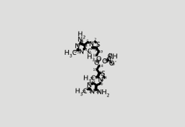 Cc1ncc(C[n+]2csc(CCOOCCc3sc[n+](Cc4cnc(C)nc4N)c3C)c2C)c(N)n1.O=[N+]([O-])O